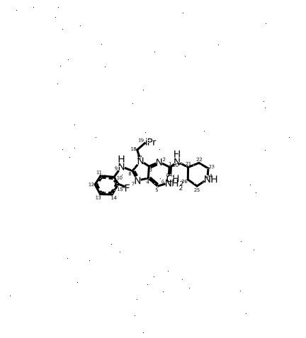 C=C(/N=C1\C(=C/N)N=C(Nc2ccccc2F)N1CC(C)C)NC1CCNCC1